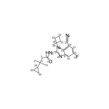 CC(C)(CC(=O)Nc1nc2cc(F)cc(C#N)c2n1C1(C)CCC1)C1CC1